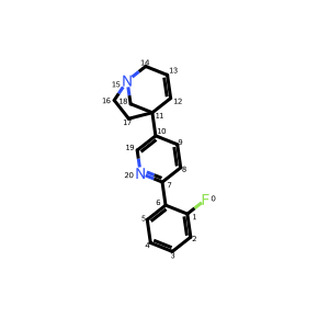 Fc1ccccc1-c1ccc(C23C=CCN(CC2)C3)cn1